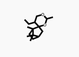 CCC1COC(C)OC12CC1CCC2(C)C1(C)C